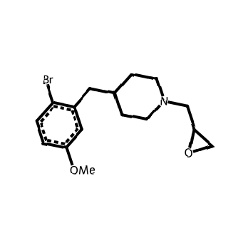 COc1ccc(Br)c(CC2CCN(CC3CO3)CC2)c1